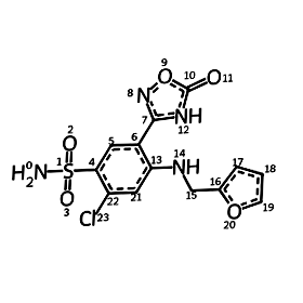 NS(=O)(=O)c1cc(-c2noc(=O)[nH]2)c(NCc2ccco2)cc1Cl